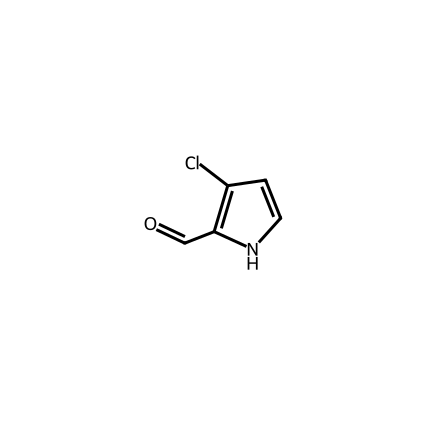 O=Cc1[nH]ccc1Cl